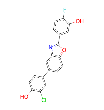 Oc1cc(-c2nc3cc(-c4ccc(O)c(Cl)c4)ccc3o2)ccc1F